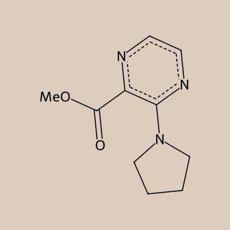 COC(=O)c1nccnc1N1CCCC1